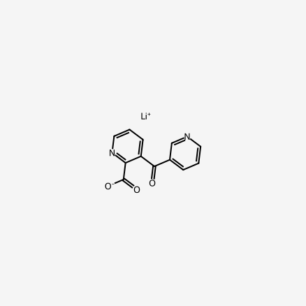 O=C(c1cccnc1)c1cccnc1C(=O)[O-].[Li+]